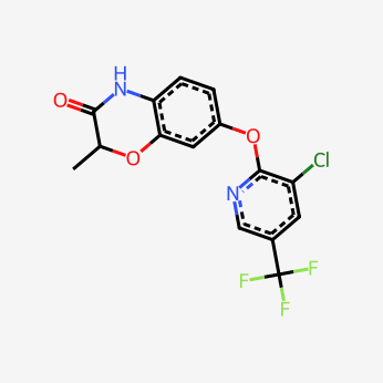 CC1Oc2cc(Oc3ncc(C(F)(F)F)cc3Cl)ccc2NC1=O